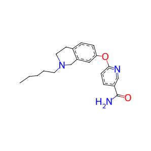 CCCCCN1CCc2ccc(Oc3ccc(C(N)=O)cn3)cc2C1